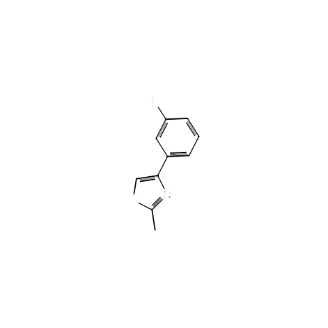 Cc1nc(-c2cccc(F)c2)co1